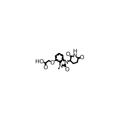 Cn1c(=O)n(C2CCC(=O)NC2=O)c2cccc(OCC(=O)O)c21